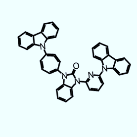 O=c1n(C2=CC=CC(n3c4ccccc4c4ccccc43)=C=C2)c2ccccc2n1-c1cccc(-n2c3ccccc3c3ccccc32)n1